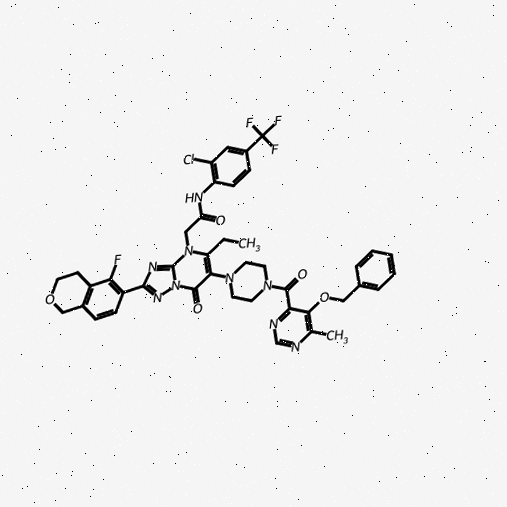 CCc1c(N2CCN(C(=O)c3ncnc(C)c3OCc3ccccc3)CC2)c(=O)n2nc(-c3ccc4c(c3F)CCOC4)nc2n1CC(=O)Nc1ccc(C(F)(F)F)cc1Cl